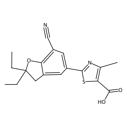 CCC1(CC)Cc2cc(-c3nc(C)c(C(=O)O)s3)cc(C#N)c2O1